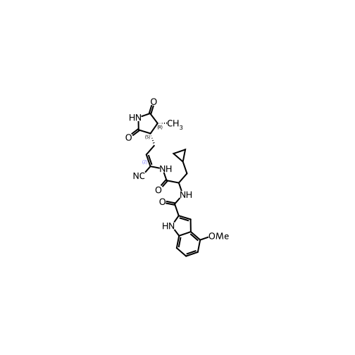 COc1cccc2[nH]c(C(=O)NC(CC3CC3)C(=O)N/C(C#N)=C\C[C@@H]3C(=O)NC(=O)[C@@H]3C)cc12